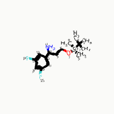 CC(C)(C)[Si](C)(C)OCCC(N)c1cc(F)cc(F)c1